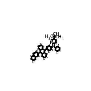 CC(C)(C)c1ccc(N(c2ccccc2)c2ccc(-c3c4ccccc4c(-c4ccc5ccccc5c4)c4ccccc34)cc2)nc1